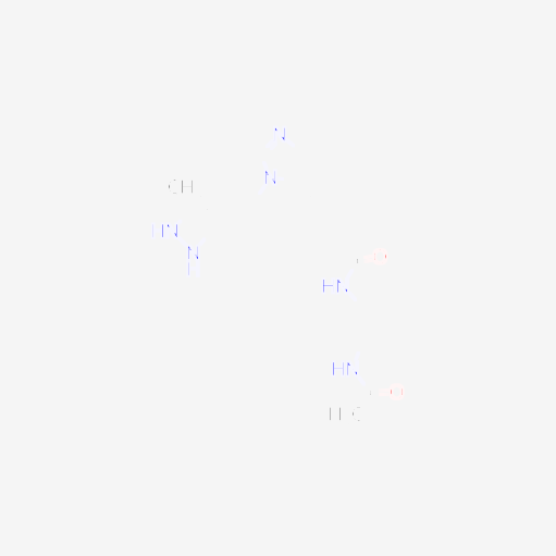 CC(=O)NCCCNC(=O)c1ccc(-c2cnc3ccc(C4=CNNC4C)cn23)cc1